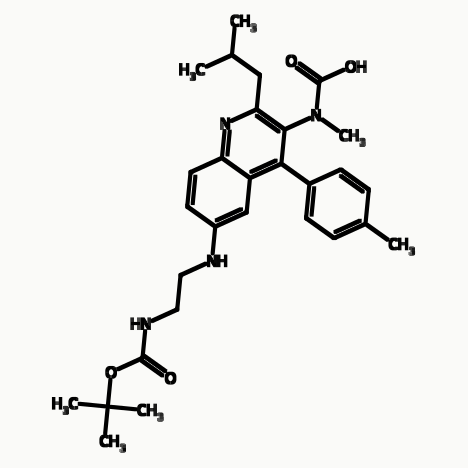 Cc1ccc(-c2c(N(C)C(=O)O)c(CC(C)C)nc3ccc(NCCNC(=O)OC(C)(C)C)cc23)cc1